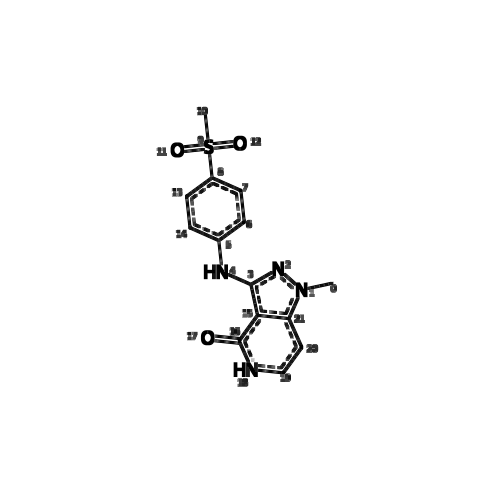 Cn1nc(Nc2ccc(S(C)(=O)=O)cc2)c2c(=O)[nH]ccc21